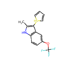 Cc1[nH]c2ccc(OC(F)(F)F)cc2c1[SH]1C=CC=C1